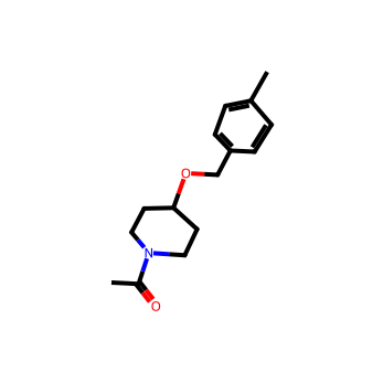 CC(=O)N1CCC(OCc2ccc(C)cc2)CC1